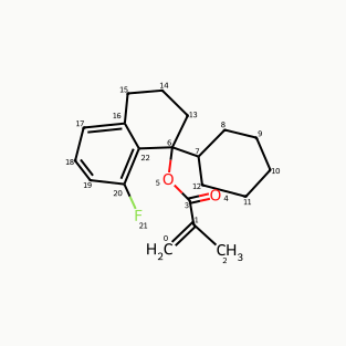 C=C(C)C(=O)OC1(C2CCCCC2)CCCc2cccc(F)c21